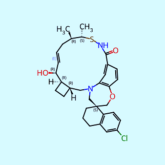 C[C@@H]1C/C=C/[C@H](O)[C@@H]2CC[C@H]2CN2C[C@@]3(CCCc4cc(Cl)ccc43)COc3ccc(cc32)C(=O)NS[C@H]1C